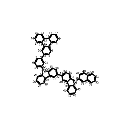 c1cc(-c2ccc3c4ccccc4c4ccccc4c3c2)cc(-n2c3ccccc3c3cc(-c4ccc5c(c4)c4ccccc4n5-c4ccc5ccccc5c4)ccc32)c1